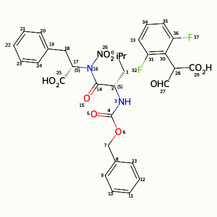 CC(C)C[C@H](NC(=O)OCc1ccccc1)C(=O)N([C@@H](Cc1ccccc1)C(=O)O)[N+](=O)[O-].O=CC(C(=O)O)c1c(F)cccc1F